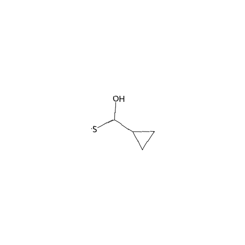 OC([S])C1CC1